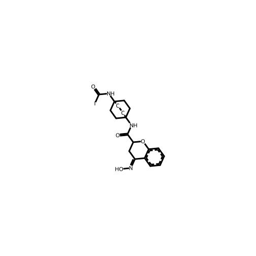 O=C(I)NC12CCC(NC(=O)C3C/C(=N\O)c4ccccc4O3)(CC1)CC2